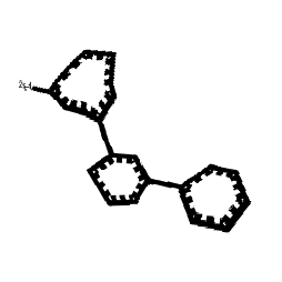 [2H]c1cccc(-c2cccc(-c3ccccc3)c2)c1